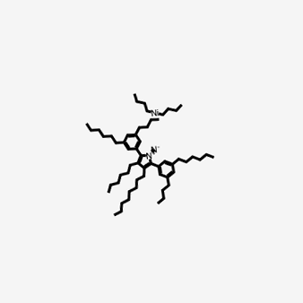 CCCCCCCCC1=C(c2cc(CCCC)cc(CCCCCC)c2)[N+](=[N-])C(c2cc(CCCC)cc(CCCCCC)c2)=C1CCCCCC.CCC[CH2][Ni][CH2]CCC